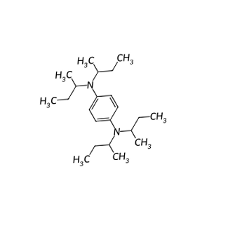 CCC(C)N(c1ccc(N(C(C)CC)C(C)CC)cc1)C(C)CC